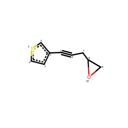 C(#Cc1ccsc1)CC1CO1